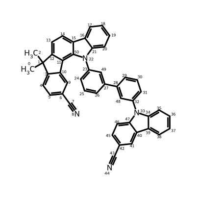 CC1(C)c2ccc(C#N)cc2-c2c1ccc1c3ccccc3n(-c3cccc(-c4cccc(-n5c6ccccc6c6cc(C#N)ccc65)c4)c3)c21